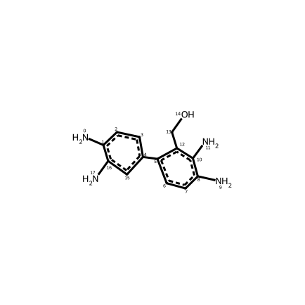 Nc1ccc(-c2ccc(N)c(N)c2CO)cc1N